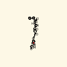 O=C1CCC(N2Cc3cc(OCCCCC(=O)N4CCC5(CC4)CCN(c4cncc(Nc6ncc(Cl)c(-c7cccc(-c8ccccc8)c7)n6)c4)C5=O)ccc3C2=O)C(=O)N1